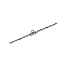 CCCCCCCC/C=C/CCCCCCCCOC(=O)OCCCCCCCC/C=C/CCCCCCCC